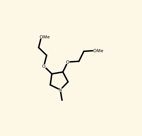 COCCOC1CN(C)CC1OCCOC